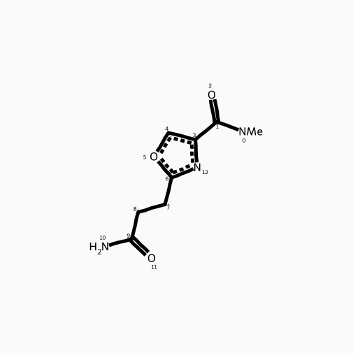 CNC(=O)c1coc([CH]CC(N)=O)n1